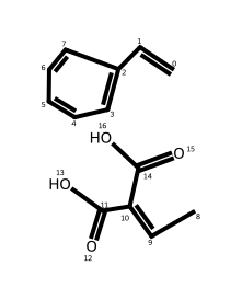 C=Cc1ccccc1.CC=C(C(=O)O)C(=O)O